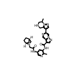 Cc1ncc(NC(=O)CN2C[C@@H]3CC[C@H]2C3)cc1NC(=O)c1cnn2cc(-c3cnn4c3CNCC4C)ncc12